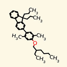 CCCCC(CC)COc1cc(C)c(-c2ccc3c(c2)C(CCC)(CCC)c2ccccc2-3)cc1C